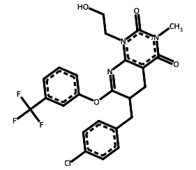 Cn1c(=O)c2c(n(CCO)c1=O)N=C(Oc1cccc(C(F)(F)F)c1)C(Cc1ccc(Cl)cc1)C2